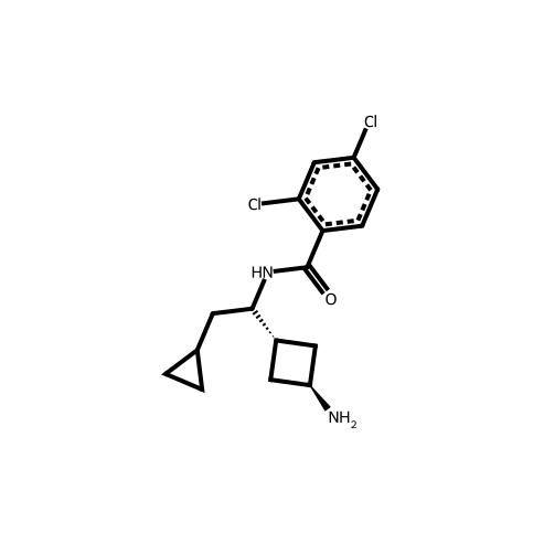 N[C@H]1C[C@H](C(CC2CC2)NC(=O)c2ccc(Cl)cc2Cl)C1